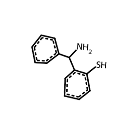 NC(c1ccccc1)c1ccccc1S